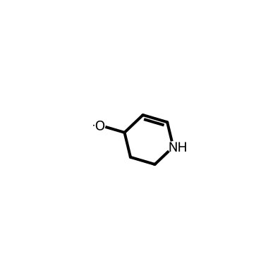 [O]C1C=CNCC1